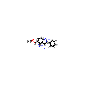 CCOCc1ccc2[nH]c(-c3ccccc3)cc2c1N